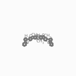 CN1c2cc3c(cc2Oc2cc4c(cc21)-c1ccc(-c2cccc5c2oc2ccccc25)cc1C4(C)C)C(C)(C)c1cc(-c2cccc4c2oc2ccccc24)ccc1-3